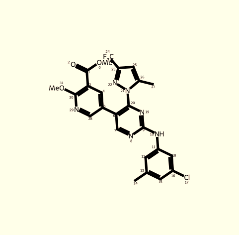 COC(=O)c1cc(-c2cnc(Nc3cc(C)cc(Cl)c3)nc2-n2nc(C(F)(F)F)cc2C)cnc1OC